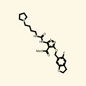 COC(=O)c1c(OCc2cc3c(cc2F)CCO3)nsc1NC(=O)NCCCCN1CCCC1